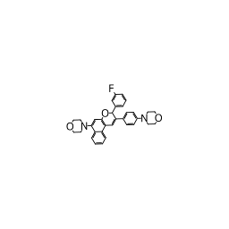 Fc1cccc(C2Oc3cc(N4CCOCC4)c4ccccc4c3C=C2c2ccc(N3CCOCC3)cc2)c1